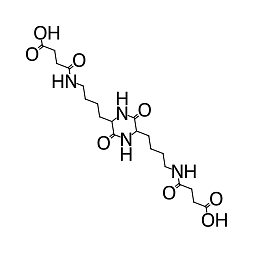 O=C(O)CCC(=O)NCCCCC1NC(=O)C(CCCCNC(=O)CCC(=O)O)NC1=O